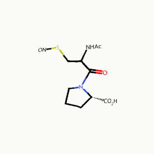 CC(=O)NC(CSN=O)C(=O)N1CCC[C@H]1C(=O)O